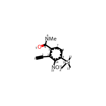 C#Cc1c(C(=O)NC)ccc([Si](C)(C)C)c1[N+](=O)[O-]